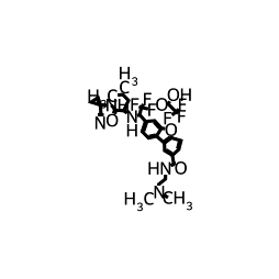 CC(C)CC(NC(c1ccc2c(c1)oc1ccc(C(=O)NCCN(C)C)cc12)C(F)(F)F)C(=O)NC1(C#N)CC1.O=C(O)C(F)(F)F